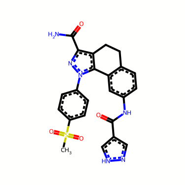 CS(=O)(=O)c1ccc(-n2nc(C(N)=O)c3c2-c2cc(NC(=O)c4cn[nH]c4)ccc2CC3)cc1